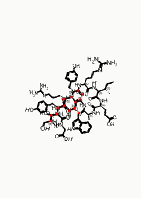 CC[C@H](C)[C@H](NC(=O)[C@H](CCCN=C(N)N)NC(=O)[C@H](Cc1ccc(O)cc1)NC(=O)[C@H](Cc1c[nH]c2ccccc12)NC(=O)[C@H](Cc1ccc(O)cc1)NC(=O)[C@@H](N)CO)C(=O)N[C@@H](CCC(=O)O)C(=O)N[C@@H](C)C(=O)N[C@@H](CO)C(=O)N[C@@H](CCCN=C(N)N)C(=O)N[C@H](C(=O)NCC(=O)O)[C@@H](C)O